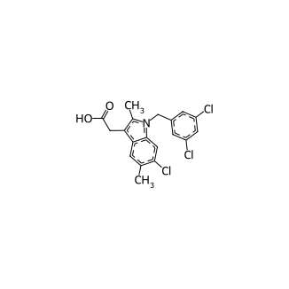 Cc1cc2c(CC(=O)O)c(C)n(Cc3cc(Cl)cc(Cl)c3)c2cc1Cl